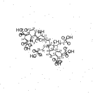 CC1(CCCS(=O)(=O)O)C(/C=C/C=C2/Nc3ccc4c(S(=O)(=O)O)cc(S(=O)(=O)O)cc4c3C2(C)C)=[N+](CCCS(=O)(=O)O)c2ccc3c(S(=O)(=O)O)cc(S(=O)(=O)O)cc3c21